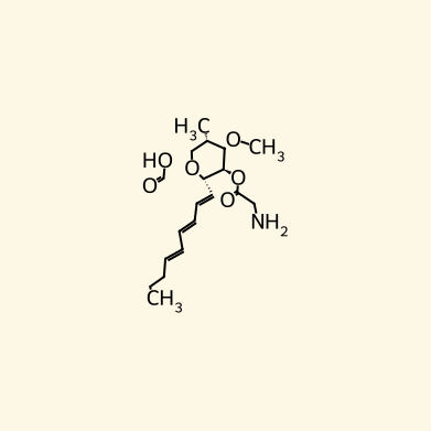 CCC/C=C/C=C/C=C/[C@@H]1OC[C@H](C)[C@H](OC)[C@H]1OC(=O)CN.O=CO